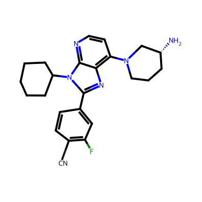 N#Cc1ccc(-c2nc3c(N4CCC[C@@H](N)C4)ccnc3n2C2CCCCC2)cc1F